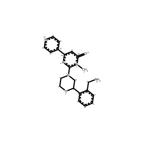 Cn1c(N2CCOC(c3ccccc3CN)C2)nc(-c2ccncc2)cc1=O